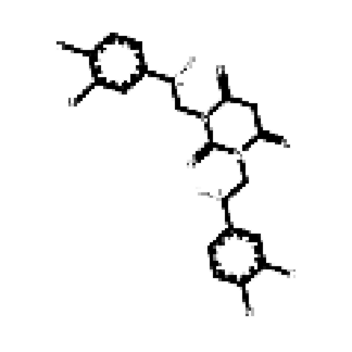 O=C1CC(=O)N(C[C@@H](F)c2ccc(Cl)c(Cl)c2)C(=O)N1C[C@@H](F)c1ccc(Cl)c(Cl)c1